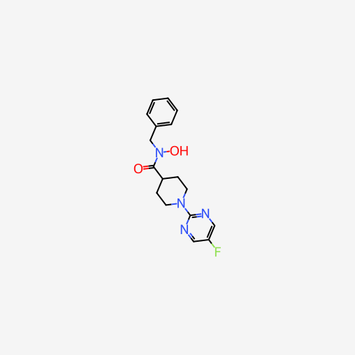 O=C(C1CCN(c2ncc(F)cn2)CC1)N(O)Cc1ccccc1